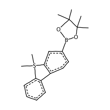 CC1(C)OB(c2ccc3c(c2)S(C)(C)c2ccccc2-3)OC1(C)C